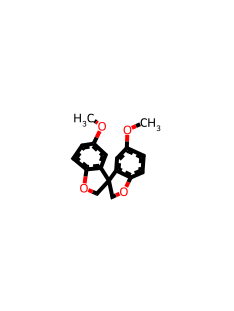 COc1ccc2c(c1)C1(CO2)COc2ccc(OC)cc21